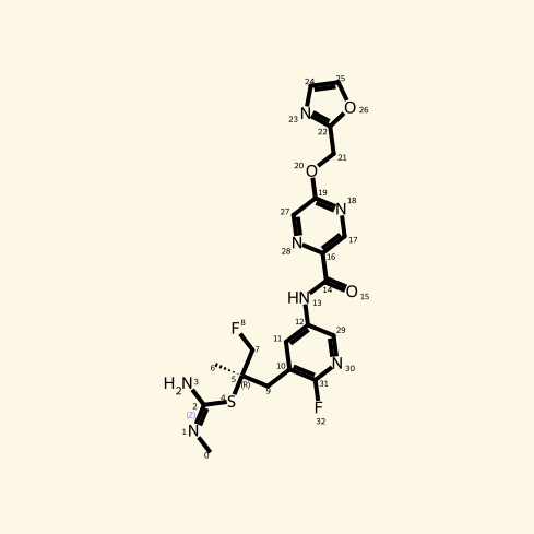 C/N=C(/N)S[C@@](C)(CF)Cc1cc(NC(=O)c2cnc(OCc3ncco3)cn2)cnc1F